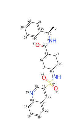 C[C@@H](NC(=O)C1CCC(NS(=O)(=O)c2cnc3ccccc3c2)CC1)c1ccccc1